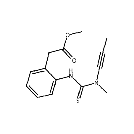 CC#CN(C)C(=S)Nc1ccccc1CC(=O)OC